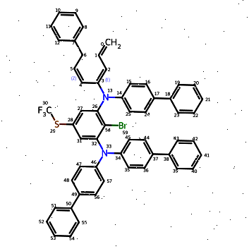 C=C/C=C(\C=C/Cc1ccccc1)N(c1ccc(-c2ccccc2)cc1)c1cc(SC(F)(F)F)cc(N(c2ccc(-c3ccccc3)cc2)c2ccc(-c3ccccc3)cc2)c1Br